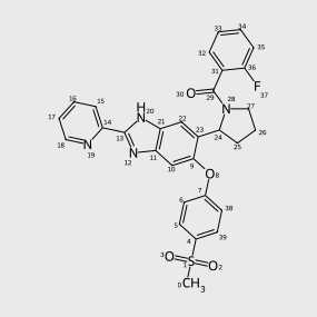 CS(=O)(=O)c1ccc(Oc2cc3nc(-c4ccccn4)[nH]c3cc2C2CCCN2C(=O)c2ccccc2F)cc1